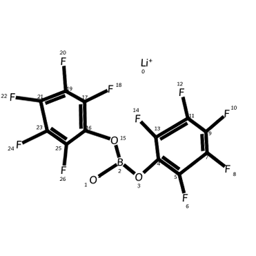 [Li+].[O-]B(Oc1c(F)c(F)c(F)c(F)c1F)Oc1c(F)c(F)c(F)c(F)c1F